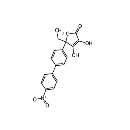 CCC1(c2ccc(-c3ccc([N+](=O)[O-])cc3)cc2)OC(=O)C(O)=C1O